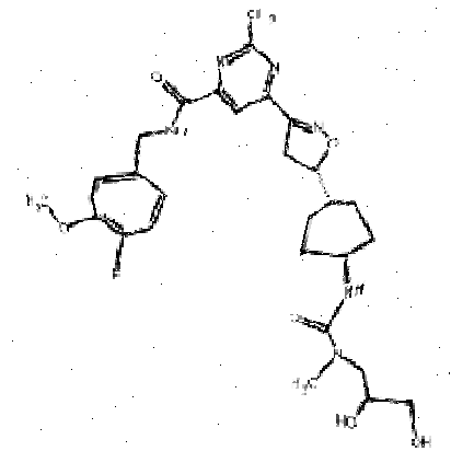 COc1cc(CNC(=O)c2cc(C3=NOC([C@H]4CC[C@H](NC(=O)N(C)CC(O)CO)CC4)C3)nc(C)n2)ccc1F